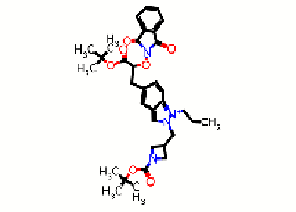 C=CC[n+]1c2ccc(CC(ON3C(=O)c4ccccc4C3=O)C(=O)OC(C)(C)C)cc2cn1CC1CN(C(=O)OC(C)(C)C)C1